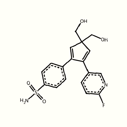 NS(=O)(=O)c1ccc(C2=CC(CO)(CO)C=C2c2ccc(F)nc2)cc1